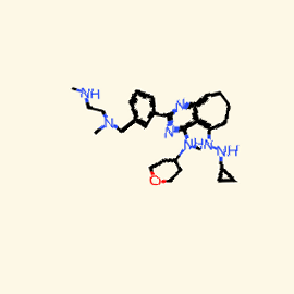 CNCCN(C)Cc1cccc(-c2nc(N(C)C3CCOCC3)c3c(n2)=CCCCC=3NNC2CC2)c1